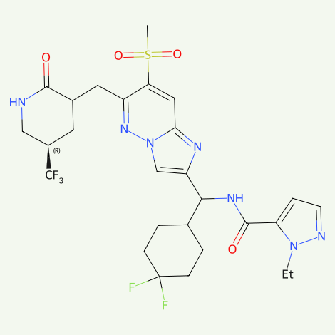 CCn1nccc1C(=O)NC(c1cn2nc(CC3C[C@@H](C(F)(F)F)CNC3=O)c(S(C)(=O)=O)cc2n1)C1CCC(F)(F)CC1